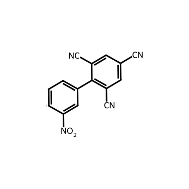 N#Cc1cc(C#N)c(-c2cc[c]c([N+](=O)[O-])c2)c(C#N)c1